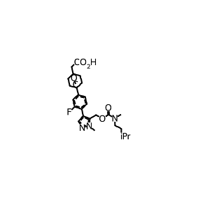 CC(C)CCN(C)C(=O)OCc1c(-c2ccc(C34CCC(CC(=O)O)(CC3)OC4)cc2F)cnn1C